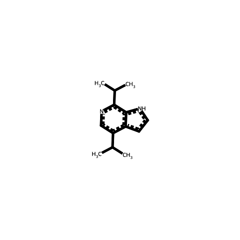 CC(C)c1cnc(C(C)C)c2[nH]ccc12